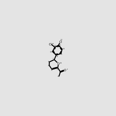 CC(=O)C1=CCCC(c2ccc(Cl)c(Cl)c2)O1